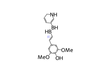 COc1cc(/C=C/BBC2=CNCC=C2)cc(OC)c1O